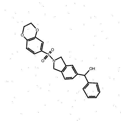 O=S(=O)(c1ccc2c(c1)OCCO2)N1Cc2ccc(C(O)c3ccccc3)cc2C1